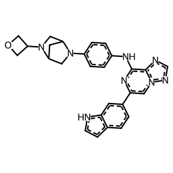 c1nc2c(Nc3ccc(N4CC5CC4CN5C4COC4)cc3)nc(-c3ccc4cc[nH]c4c3)cn2n1